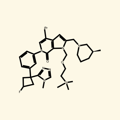 CC(C)c1cn(-c2cccc(C3(c4nncn4C)CC(F)C3)c2)c(=O)c2c1cc(CN1CCC[C@H](C)C1)n2COCC[Si](C)(C)C